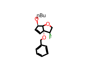 CCCCO[C@@H]1C=C[C@@]2(OCc3ccccc3)C1OC[C@H]2F